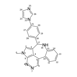 Cn1cc2c3c(cnnc31)-c1ccccc1NC2c1ccc(-n2ccnc2)cc1